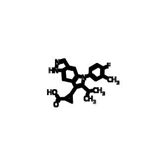 Cc1cc(-n2c(C(C)C)c(C3CC3C(=O)O)c3cc4[nH]ncc4cc32)ccc1F